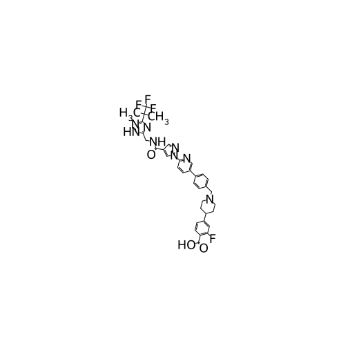 CC(C)(c1n[nH]c(CNC(=O)c2cnn(-c3ccc(-c4ccc(CN5CCC(c6ccc(C(=O)O)c(F)c6)CC5)cc4)cn3)c2)n1)C(F)(F)F